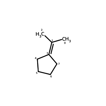 CC(C)=C1CCCC1